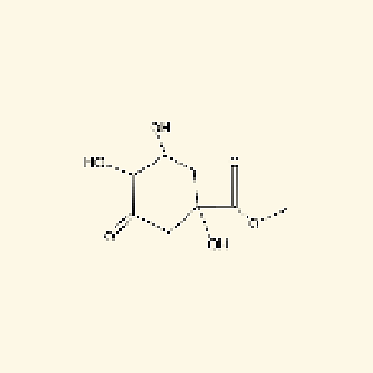 COC(=O)C1(O)CC(=O)C(O)C(O)C1